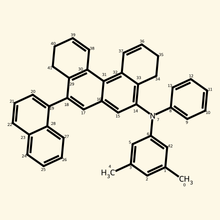 Cc1cc(C)cc(N(c2ccccc2)c2cc3cc(-c4cccc5ccccc45)c4c(c3c3c2CCC=C3)C=CCC4)c1